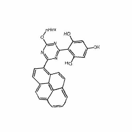 CCCCCCOc1nc(-c2c(O)cc(O)cc2O)nc(-c2ccc3ccc4cccc5ccc2c3c45)n1